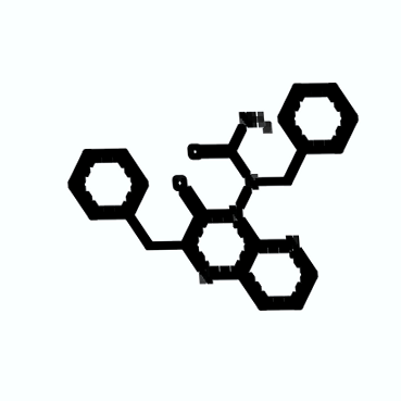 NC(=O)N(Cc1ccccc1)n1c(=O)c(Cc2ccccc2)nc2cccnc21